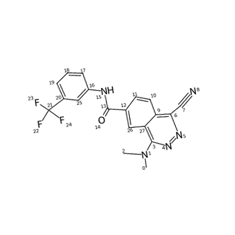 CN(C)c1nnc(C#N)c2ccc(C(=O)Nc3cccc(C(F)(F)F)c3)cc12